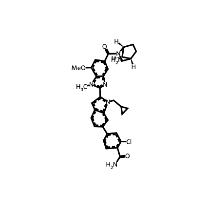 COc1cc(C(=O)N2C[C@H]3CC[C@@H]2[C@@H]3N)cc2nc(-c3cc4ccc(-c5ccc(C(N)=O)c(Cl)c5)cc4n3CC3CC3)n(C)c12